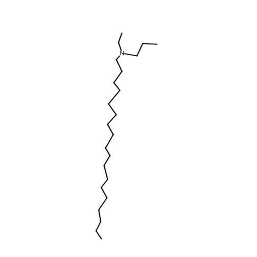 CCCCCCCCCCCCCCCCCCN(CC)CCC